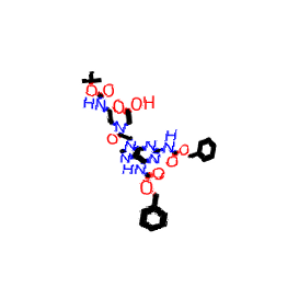 CC(C)(C)OC(=O)NCCN(CC(=O)O)C(=O)Cn1cnc2c(NC(=O)OCc3ccccc3)nc(NC(=O)OCc3ccccc3)nc21